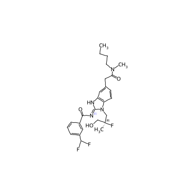 CCCCN(C)C(=O)Cc1ccc2c(c1)[nH]/c(=N\C(=O)c1cccc(C(F)F)c1)n2C[C@@](C)(F)CO